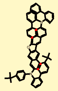 CC(C)(C)c1ccc(-c2ccccc2N(c2ccc(C(C)(C)C)cc2)c2ccc3cc4c(cc3c2)oc2cc3cc(N(c5ccccc5-c5ccccc5)c5ccccc5-c5ccccc5)ccc3cc24)cc1